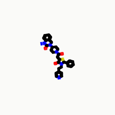 O=C(CC1SC(c2ccccc2)N(CCc2ccncc2)C1=O)N1CCC(N2Cc3ccccc3NC2=O)CC1